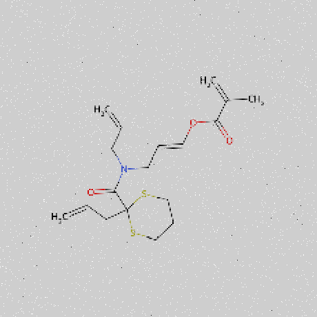 C=CCN(CC=COC(=O)C(=C)C)C(=O)C1(CC=C)SCCCS1